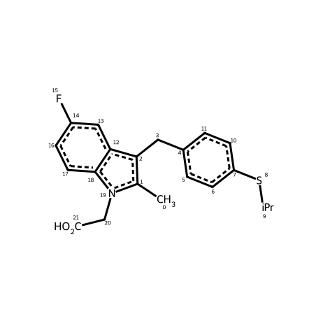 Cc1c(Cc2ccc(SC(C)C)cc2)c2cc(F)ccc2n1CC(=O)O